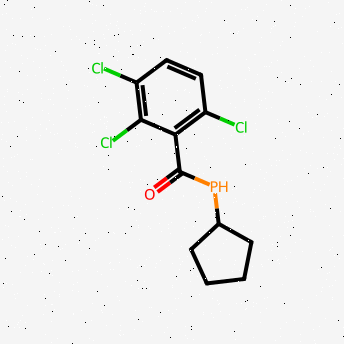 O=C(PC1CCCC1)c1c(Cl)ccc(Cl)c1Cl